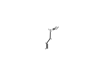 C=CC[S+]=O